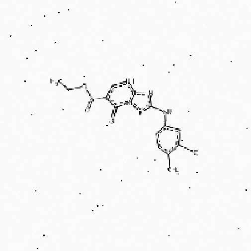 CCOC(=O)c1c[nH]c2nc(Nc3ccc(C)c(Cl)c3)nn2c1=O